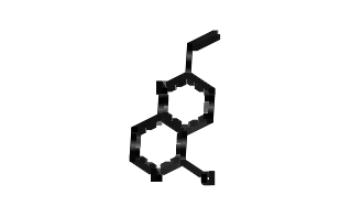 C=Cc1ccc2c(Cl)nccc2n1